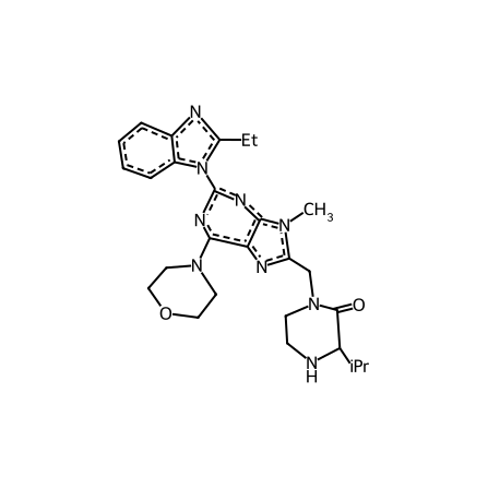 CCc1nc2ccccc2n1-c1nc(N2CCOCC2)c2nc(CN3CCNC(C(C)C)C3=O)n(C)c2n1